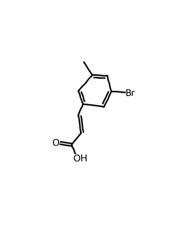 Cc1cc(Br)cc(/C=C/C(=O)O)c1